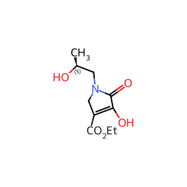 CCOC(=O)C1=C(O)C(=O)N(C[C@H](C)O)C1